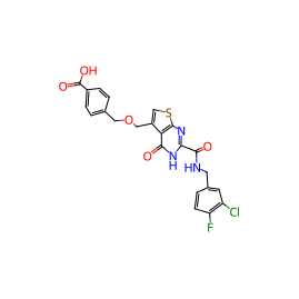 O=C(O)c1ccc(COCc2csc3nc(C(=O)NCc4ccc(F)c(Cl)c4)[nH]c(=O)c23)cc1